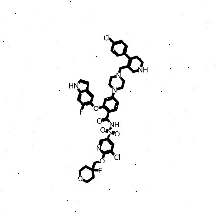 O=C(NS(=O)(=O)c1cnc(OCC2(F)CCOCC2)c(Cl)c1)c1ccc(N2CCN(CC3=C(c4ccc(Cl)cc4)CCNC3)CC2)cc1Oc1cc2cc[nH]c2cc1F